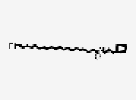 CCC=CCC=CCC=CCC=CCC=CCC=CCCC(=O)NCCCc1ccccc1